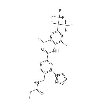 CCC(=O)NCc1ccc(C(=O)Nc2c(C)cc(C(F)(C(F)(F)F)C(F)(F)F)cc2CC)cc1-n1cccn1